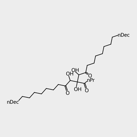 CCCCCCCCCCCCCCCCCC(=O)C(O)C(O)(C(=O)CCC)C(O)C(=O)CCCCCCCCCCCCCCCCC